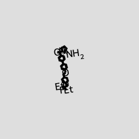 CCC(F)(CC)CN1CCC(COc2ccc(-c3ccc(C(=O)N4CCC[C@@H]4CN)cc3)cc2)CC1